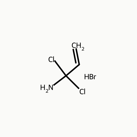 Br.C=CC(N)(Cl)Cl